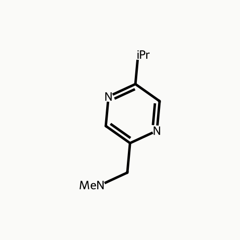 CNCc1cnc(C(C)C)cn1